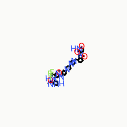 CNC(=O)c1ccccc1Nc1cc(Nc2ccc(N3CCC(N4CCN(Cc5cccc6c5CN(C5CCC(=O)NC5=O)C6=O)CC4)CC3)cc2OC)ncc1C(F)(F)F